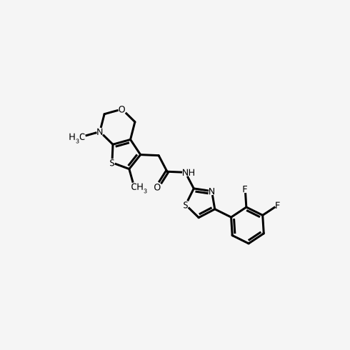 Cc1sc2c(c1CC(=O)Nc1nc(-c3cccc(F)c3F)cs1)COCN2C